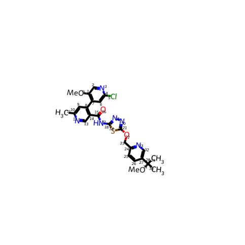 COc1cnc(Cl)cc1-c1cc(C)ncc1C(=O)Nc1nnc(OCc2ccc(C(C)(C)OC)cn2)s1